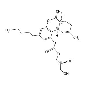 C=C1Oc2cc(CCCCC)cc(OC(=O)OC[C@@H](O)CO)c2[C@@H]2C=C(C)CC[C@@H]12